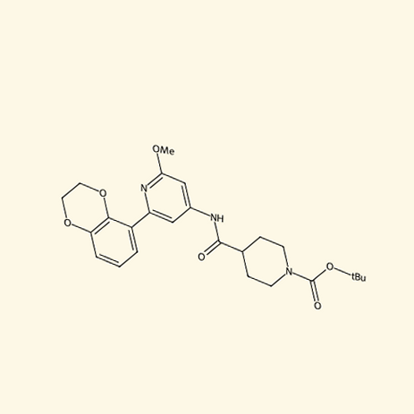 COc1cc(NC(=O)C2CCN(C(=O)OC(C)(C)C)CC2)cc(-c2cccc3c2OCCO3)n1